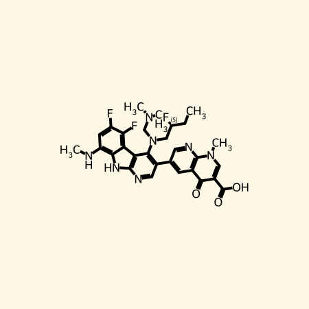 CC[C@H](F)CN(CN(C)C)c1c(-c2cnc3c(c2)c(=O)c(C(=O)O)cn3C)cnc2[nH]c3c(NC)cc(F)c(F)c3c12